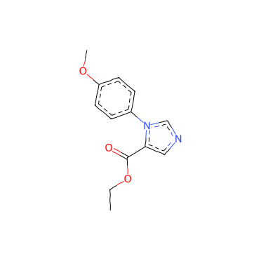 CCOC(=O)c1cncn1-c1ccc(OC)cc1